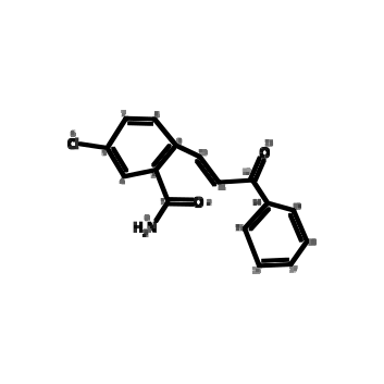 NC(=O)c1cc(Cl)ccc1/C=C/C(=O)c1ccccc1